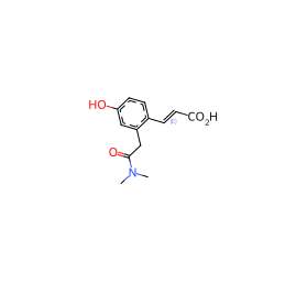 CN(C)C(=O)Cc1cc(O)ccc1/C=C/C(=O)O